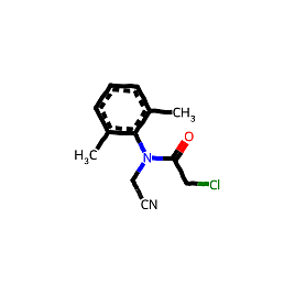 Cc1cccc(C)c1N(CC#N)C(=O)CCl